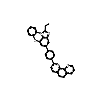 CCc1nc2cc(-c3ccc(-c4ccc5ccc6cccnc6c5n4)cc3)cc3c2n1-c1ccccc1O3